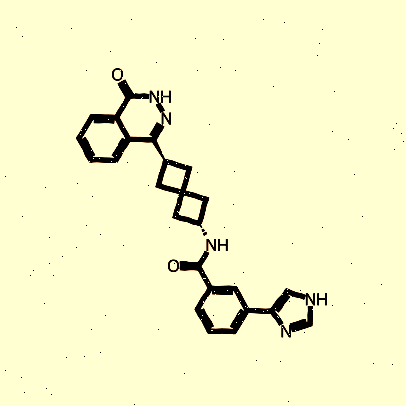 O=C(N[C@H]1CC2(C1)C[C@H](c1n[nH]c(=O)c3ccccc31)C2)c1cccc(-c2c[nH]cn2)c1